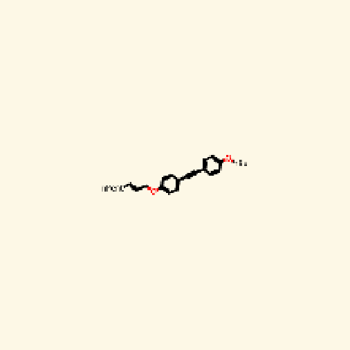 CCCCCC=CCOc1ccc(C#Cc2ccc(OCCCC)cc2)cc1